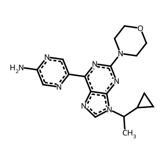 CC(C1CC1)n1cnc2c(-c3cnc(N)cn3)nc(N3CCOCC3)nc21